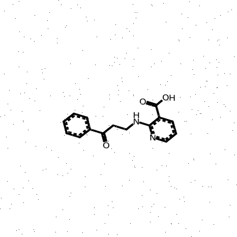 O=C(CCNc1ncccc1C(=O)O)c1ccccc1